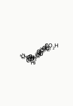 CC(C)(CCc1ccccc1)OC(=O)NCCc1ccc(S(=O)(=O)c2ccc(Oc3ccccc3C(=O)O)cc2)cc1